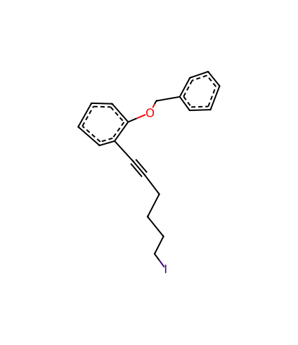 ICCCCC#Cc1ccccc1OCc1ccccc1